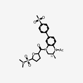 CC(=O)N1c2ccc(-c3ccc(S(C)(=O)=O)cc3)cc2N(C(=O)C2CCC(S(=O)(=O)N(C)C)O2)C[C@@H]1C